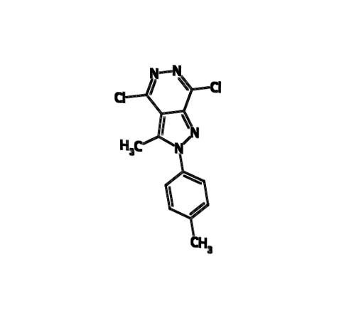 Cc1ccc(-n2nc3c(Cl)nnc(Cl)c3c2C)cc1